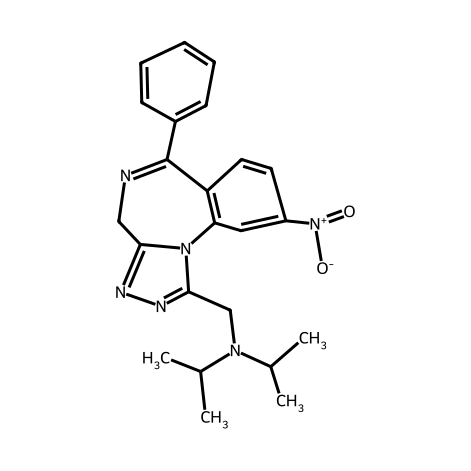 CC(C)N(Cc1nnc2n1-c1cc([N+](=O)[O-])ccc1C(c1ccccc1)=NC2)C(C)C